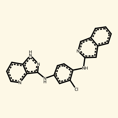 Clc1cc(Nc2n[nH]c3cccnc23)ccc1Nc1cc2ccccc2cn1